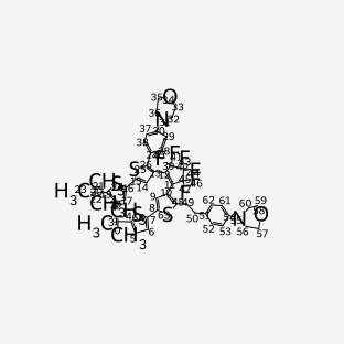 CC(C)(C)c1ccc(-c2cc(C3=C(c4cc(-c5ccc(C(C)(C)C)s5)sc4-c4ccc(N5CCOCC5)cc4)C(F)(F)C(F)(F)C3(F)F)c(CCc3ccc(N4CCOCC4)cc3)s2)s1